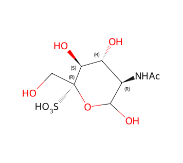 CC(=O)N[C@H]1C(O)O[C@](CO)(S(=O)(=O)O)[C@@H](O)[C@@H]1O